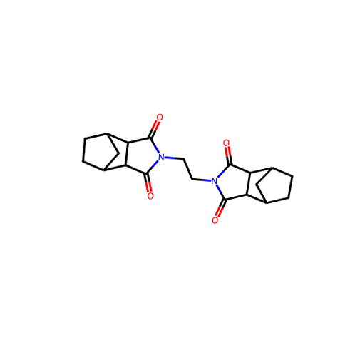 O=C1C2C3CCC(C3)C2C(=O)N1CCN1C(=O)C2C3CCC(C3)C2C1=O